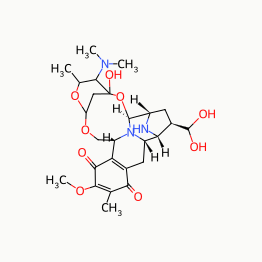 COC1=C(C)C(=O)C2=C(C1=O)[C@@H]1COC3CC(O)(O[C@H]4[C@@H]5C[C@@H](C(O)O)[C@@H](N5)[C@H](C2)N14)C(N(C)C)C(C)O3